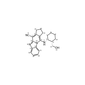 N#Cc1c2c(c(N[C@@H]3CCCC[C@@H]3CO)n3c1nc1ccccc13)CCC2